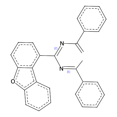 C=C(/N=C(\N=C(/C)c1ccccc1)c1cccc2oc3ccccc3c12)c1ccccc1